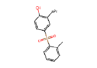 CCCc1cc(S(=O)(=O)c2ccccc2C)ccc1O